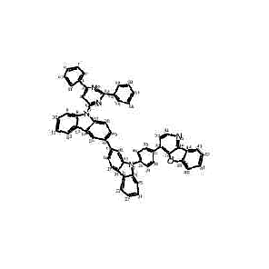 c1ccc(-c2cc(-n3c4ccccc4c4cc(-c5ccc6c7ccccc7n(-c7ccc(-c8ccnc9c8oc8ccccc89)cc7)c6c5)ccc43)nc(-c3ccccc3)n2)cc1